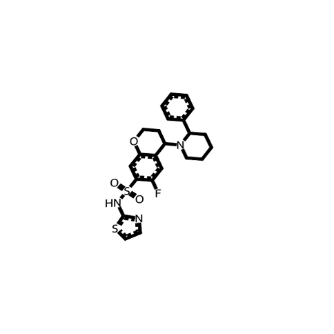 O=S(=O)(Nc1nccs1)c1cc2c(cc1F)C(N1CCCCC1c1ccccc1)CCO2